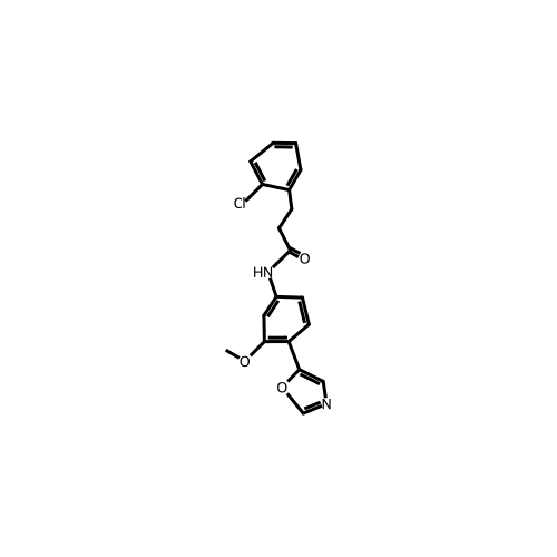 COc1cc(NC(=O)CCc2ccccc2Cl)ccc1-c1cnco1